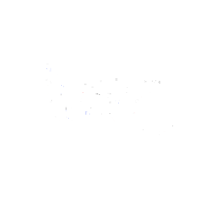 COCC1=C(C(=O)OCOC(=O)C(C)(C)C)N2C(=O)C(NC(=O)C(=NO)c3csc(N)n3)[C@@H]2SC1